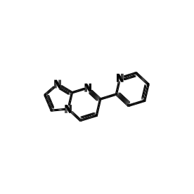 c1ccc(-c2ccn3ccnc3n2)nc1